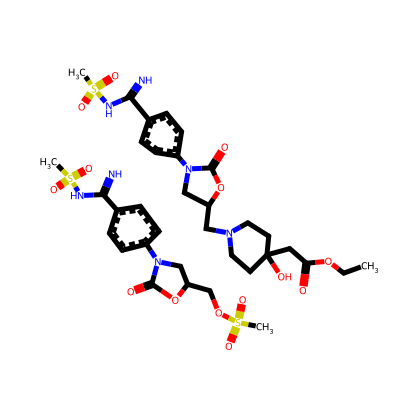 CCOC(=O)CC1(O)CCN(CC2CN(c3ccc(C(=N)NS(C)(=O)=O)cc3)C(=O)O2)CC1.CS(=O)(=O)NC(=N)c1ccc(N2CC(COS(C)(=O)=O)OC2=O)cc1